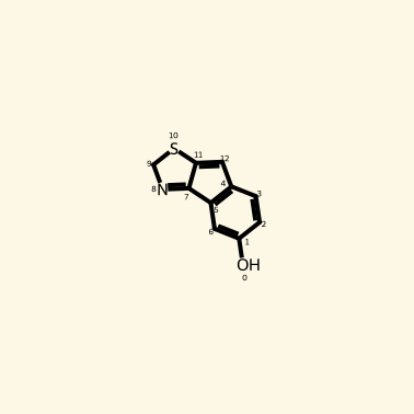 Oc1ccc2c(c1)C1=NCSC1=C2